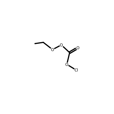 CCOOC(=O)OCl